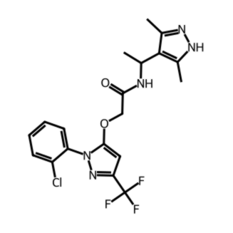 Cc1n[nH]c(C)c1C(C)NC(=O)COc1cc(C(F)(F)F)nn1-c1ccccc1Cl